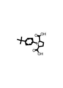 CC(C)(C)c1ccc(N2C(C(=O)O)CCC2C(=O)O)cc1